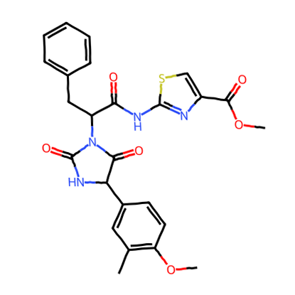 COC(=O)c1csc(NC(=O)C(Cc2ccccc2)N2C(=O)NC(c3ccc(OC)c(C)c3)C2=O)n1